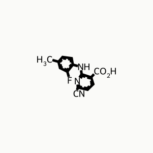 Cc1ccc(Nc2nc(C#N)ccc2C(=O)O)c(F)c1